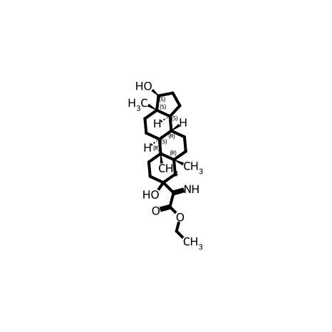 CCOC(=O)C(=N)C1(O)CC[C@]2(C)[C@H]3CC[C@]4(C)[C@@H](O)CC[C@H]4[C@@H]3CC[C@]2(C)C1